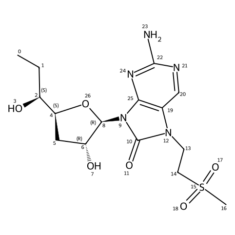 CC[C@H](O)[C@@H]1C[C@@H](O)[C@H](n2c(=O)n(CCS(C)(=O)=O)c3cnc(N)nc32)O1